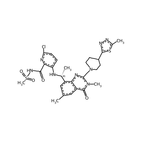 Cc1cc([C@@H](C)Nc2ccc(Cl)nc2C(=O)NS(C)(=O)=O)c2nc(N3CCC(c4nnc(C)s4)CC3)n(C)c(=O)c2c1